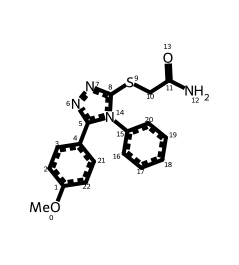 COc1ccc(-c2nnc(SCC(N)=O)n2-c2ccccc2)cc1